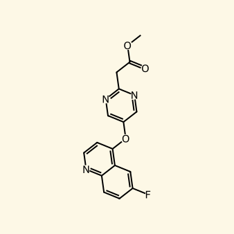 COC(=O)Cc1ncc(Oc2ccnc3ccc(F)cc23)cn1